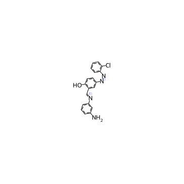 Nc1cccc(/N=C/c2cc(/N=N\c3ccccc3Cl)ccc2O)c1